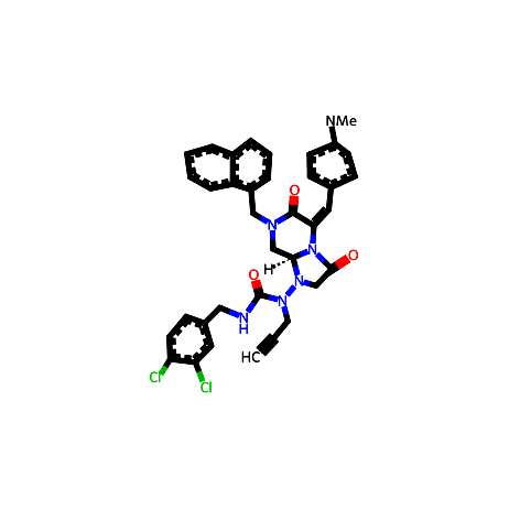 C#CCN(C(=O)NCc1ccc(Cl)c(Cl)c1)N1CC(=O)N2/C(=C/c3ccc(NC)cc3)C(=O)N(Cc3cccc4ccccc34)C[C@@H]21